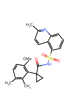 COc1ccc(C)c(C)c1C1(C(=O)NS(=O)(=O)c2cccc3nc(C)ccc23)CC1